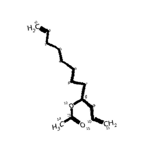 C=CCCCCCCC(CC=C)OC(C)=O